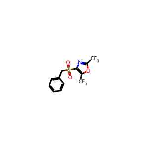 O=S(=O)(Cc1ccccc1)c1nc(C(F)(F)F)oc1C(F)(F)F